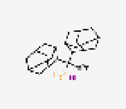 CCCC(P)(C1C2CC3CC(C2)CC1C3)C1C2CC3CC(C2)CC1C3.I